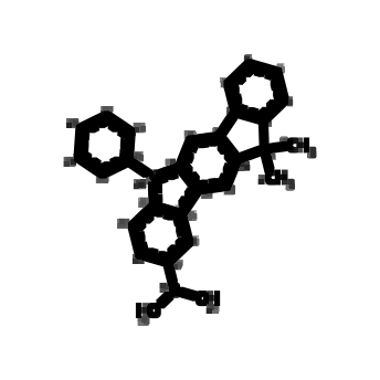 CC1(C)c2ccccc2-c2cc3c(cc21)c1cc(B(O)O)ccc1n3-c1ccccc1